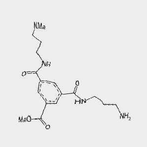 CNCCCNC(=O)c1cc(C(=O)NCCCN)cc(C(=O)OC)c1